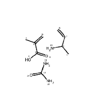 C=C(C)C(=O)O.C=CC(C)N.NC(N)=O